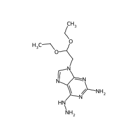 CCOC(Cn1cnc2c(NN)nc(N)nc21)OCC